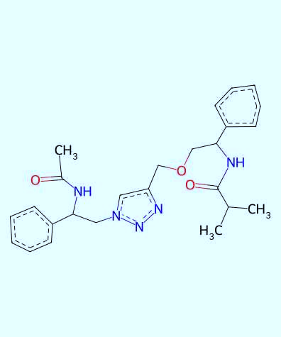 CC(=O)NC(Cn1cc(COCC(NC(=O)C(C)C)c2ccccc2)nn1)c1ccccc1